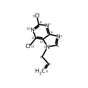 C=CCn1cnc2nc(Cl)nc(Cl)c21